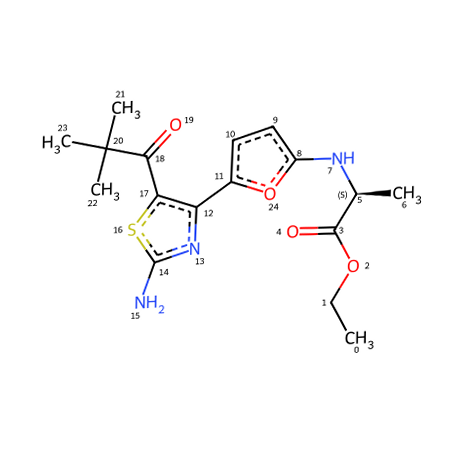 CCOC(=O)[C@H](C)Nc1ccc(-c2nc(N)sc2C(=O)C(C)(C)C)o1